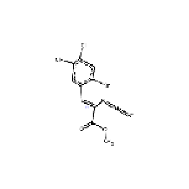 COC(=O)/C(=C/c1cc(Cl)c(Cl)cc1Br)N=[N+]=[N-]